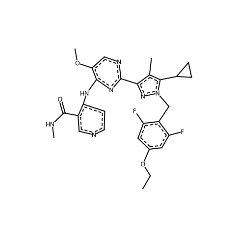 CCOc1cc(F)c(Cn2nc(-c3ncc(OC)c(Nc4ccncc4C(=O)NC)n3)c(C)c2C2CC2)c(F)c1